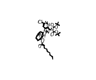 CCCCCCCCC(=O)OC12CCC(CC(n3nc(N(C(=O)OC(C)(C)C)C(=O)OC(C)(C)C)c4nnc(Cl)cc43)C1)N2